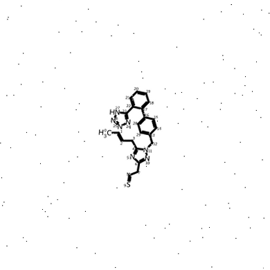 CC=CCc1nc(CC=S)nn1Cc1ccc(-c2ccccc2-c2nnn[nH]2)cc1